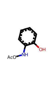 CC(=O)ONc1ccccc1O